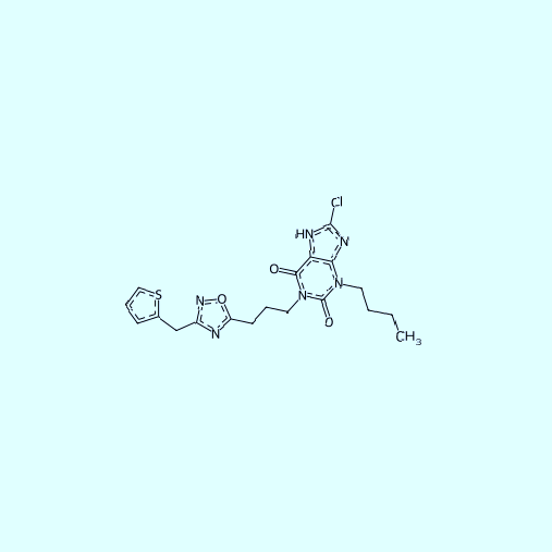 CCCCn1c(=O)n(CCCc2nc(Cc3cccs3)no2)c(=O)c2[nH]c(Cl)nc21